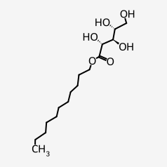 CCCCCCCCCCCOC(=O)[C@H](O)[C@H](O)[C@H](O)CO